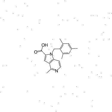 Cc1cc(C)c(Cn2c(C(=O)O)cc3c(C)nccc32)c(C)c1